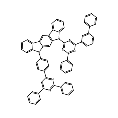 c1ccc(-c2cccc(-c3nc(-c4ccccc4)nc(-n4c5ccccc5c5cc6c7ccccc7n(-c7ccc(-c8cc(-c9ccccc9)nc(-c9ccccc9)n8)cc7)c6cc54)n3)c2)cc1